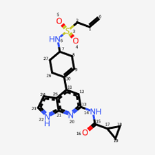 C=CCS(=O)(=O)NC1CC=C(c2cc(NC(=O)C3CC3)nc3[nH]ccc23)CC1